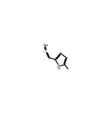 Cc1ccc(C=C=N)[nH]1